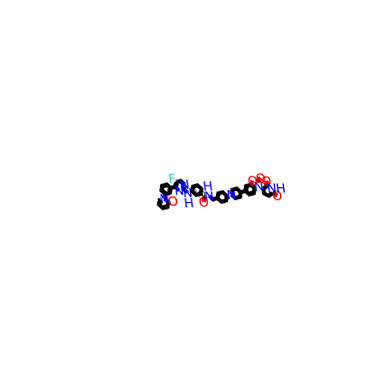 O=C1CCC(n2c(=O)oc3cc(C4CCN(C5CCC(CNC(=O)[C@H]6CCC[C@H](Nc7ncc(F)c(-c8cccc(-n9ccccc9=O)c8)n7)C6)CC5)CC4)ccc32)C(=O)N1